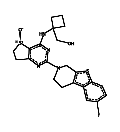 [O-][S@+]1CCc2nc(N3CCc4c(sc5ccc(F)cc45)C3)nc(NC3(CO)CCC3)c21